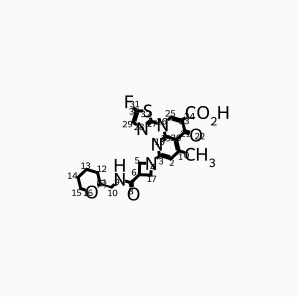 Cc1cc(N2CC(C(=O)NC[C@@H]3CCCCO3)C2)nc2c1c(=O)c(C(=O)O)cn2-c1ncc(F)s1